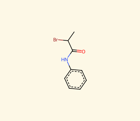 CC(Br)C(=O)Nc1ccccc1